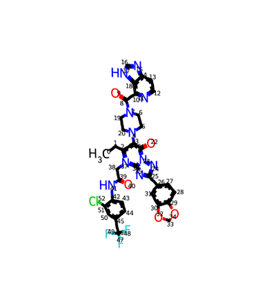 CCc1c(N2CCN(C(=O)c3nccc4nc[nH]c34)CC2)c(=O)n2nc(-c3ccc4c(c3)OCO4)nc2n1CC(=O)Nc1ccc(C(F)(F)F)cc1Cl